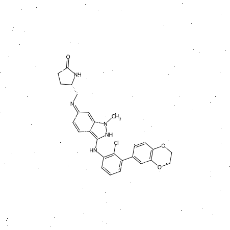 Cn1[nH]c(Nc2cccc(-c3ccc4c(c3)OCCO4)c2Cl)c2ccc(=NC[C@@H]3CCC(=O)N3)cc1-2